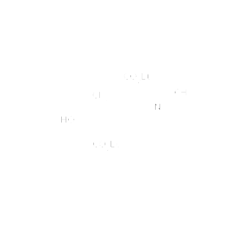 CCOC(=O)c1c(C(O)(C(=O)OCC)C(F)(F)F)c2ccccc2n1C